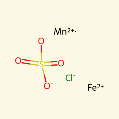 O=S(=O)([O-])[O-].[Cl-].[Fe+2].[Mn+2]